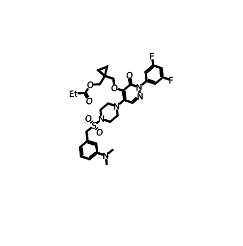 CCC(=O)OCC1(COc2c(N3CCN(S(=O)(=O)Cc4cccc(N(C)C)c4)CC3)cnn(-c3cc(F)cc(F)c3)c2=O)CC1